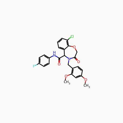 COc1ccc(CN2C(=O)COc3c(Cl)cccc3C2C(=O)Nc2ccc(F)cc2)c(OC)c1